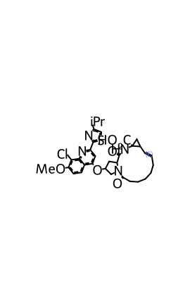 COc1ccc2c(OC3CC4C(=O)NC5(C(=O)O)CC5/C=C/CCCCCC(=O)N4C3)cc(-c3nc(C(C)C)cs3)nc2c1Cl